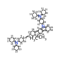 CC1(C)c2cc(C#Cc3ccc(N(c4ccccc4)c4ccccc4)cc3)ccc2-c2cc3c(cc21)c1ccccc1n3-c1ccc(N(c2ccccc2)c2ccccc2)cc1